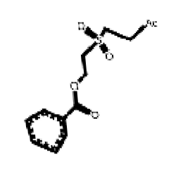 CC(=O)CCS(=O)(=O)CCOC(=O)c1ccccc1